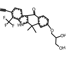 CC1(C)c2cc(OCC(O)CO)ccc2C(=O)c2c1[nH]c1c(C(F)(F)F)c(C#N)ccc21